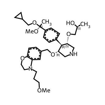 COCCCN1CCOc2ccc(CO[C@H]3CNC[C@@H](OC[C@H](C)O)[C@@H]3c3ccc([C@@](C)(OC)OCC4CC4)cc3)cc21